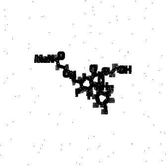 CNC(=O)CCON=Cc1cc(C(=O)NOCCO)c(Nc2ccc(I)cc2F)c(F)c1F